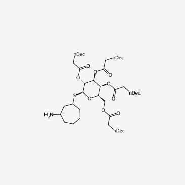 CCCCCCCCCCCC(=O)OC[C@H]1O[C@@H](SC2CCCCC(N)C2)[C@H](OC(=O)CCCCCCCCCCC)[C@@H](OC(=O)CCCCCCCCCCC)[C@H]1OC(=O)CCCCCCCCCCC